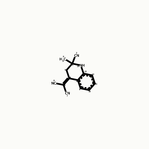 CC1(C#N)CC(=C(C#N)C#N)c2ccccc2N1